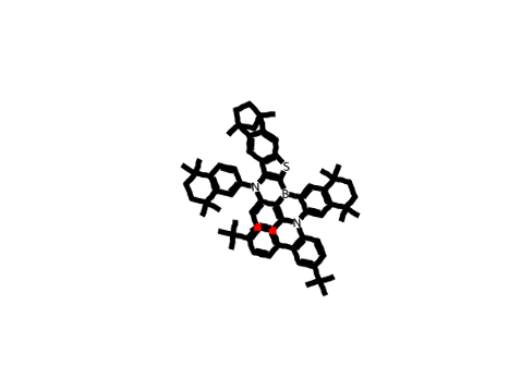 Cc1cc2c3c(c1)N(c1ccc4c(c1)C(C)(C)CCC4(C)C)c1c(sc4cc5c(cc14)C1(C)CCC5(C)C1)B3c1cc3c(cc1N2c1ccc(C(C)(C)C)cc1-c1ccc(C(C)(C)C)cc1)C(C)(C)CCC3(C)C